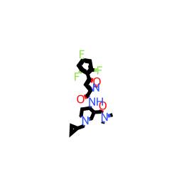 CN(C)C(=O)C1CN(CC2CC2)CCC1NC(=O)c1cc(-c2c(F)cc(F)cc2F)on1